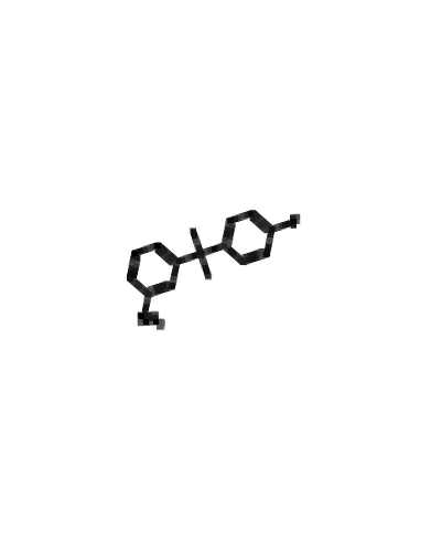 CC(C)(c1ccc(F)cc1)c1cccc(N)c1